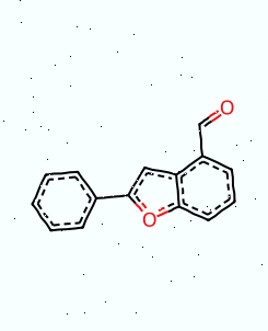 O=Cc1cccc2oc(-c3ccccc3)cc12